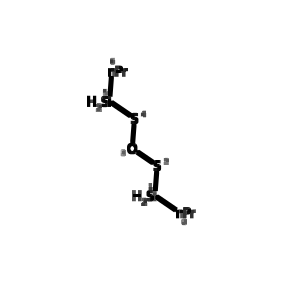 CCC[SiH2]SOS[SiH2]CCC